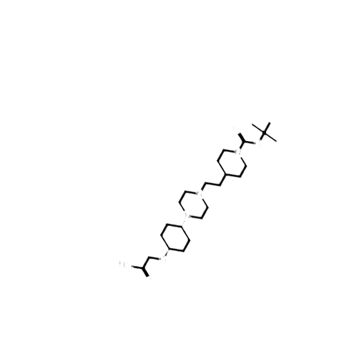 CC(C)(C)OC(=O)N1CCC(CCN2CCN([C@H]3CC[C@H](OCC(=O)O)CC3)CC2)CC1